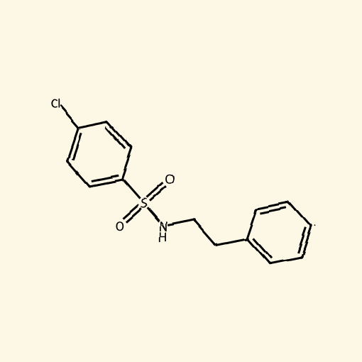 O=S(=O)(NCCc1cc[c]cc1)c1ccc(Cl)cc1